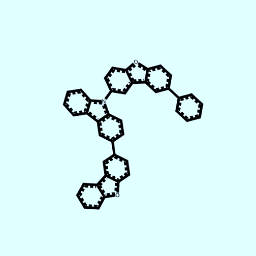 c1ccc(-c2ccc3oc4ccc(-n5c6ccccc6c6cc(-c7ccc8oc9ccccc9c8c7)ccc65)cc4c3c2)cc1